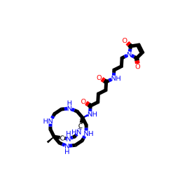 C[C@]12CNCCNC[C@](NC(=O)CCCC(=O)NCCCN3C(=O)C=CC3=O)(CNCCNC1)CNCNC2